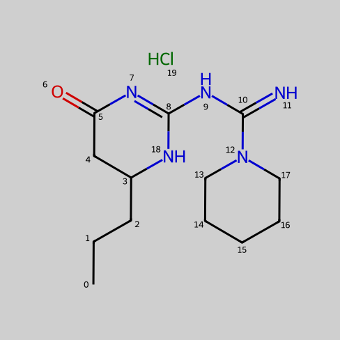 CCCC1CC(=O)N=C(NC(=N)N2CCCCC2)N1.Cl